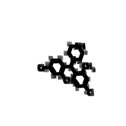 Cc1cc(Cl)ccc1C(c1ccc(Cl)cc1C)N1CCNCC1